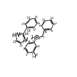 Fc1cccc(BCc2ccccc2)c1.c1ccc(-c2ncc[nH]2)cc1